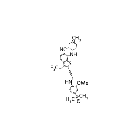 COc1cc(P(C)(C)=O)ccc1NCC#Cc1sc2c(NC3CCN(C)CC3C#N)cccc2c1CC(F)(F)F